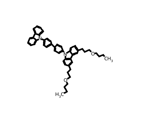 CCCCOCCCc1ccc2c(c1)c1cc(CCCOCCCC)ccc1n2-c1ccc(-c2ccc(-n3c4ccccc4c4ccccc43)cc2)cc1